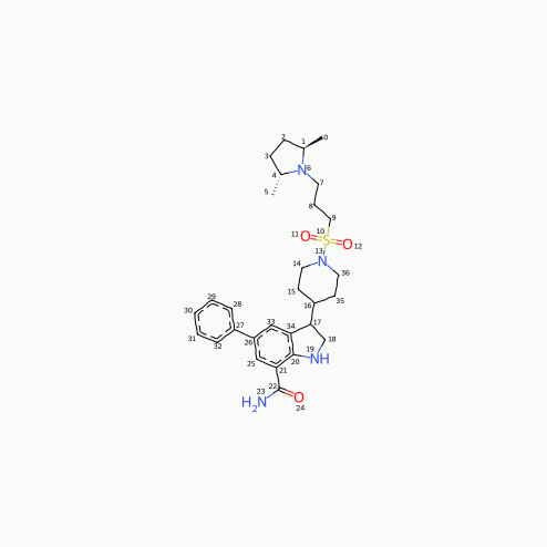 C[C@@H]1CC[C@@H](C)N1CCCS(=O)(=O)N1CCC(C2CNc3c(C(N)=O)cc(-c4ccccc4)cc32)CC1